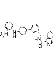 CN(Cc1cccc(-c2ccc(Nc3ccccc3C(=O)O)cc2)c1)C(=O)c1n[nH]c2c1CCC2